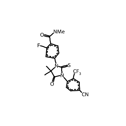 CNC(=O)c1ccc(N2C(=S)N(c3ccc(C#N)cc3C(F)(F)F)C(=O)C2(C)C)cc1F